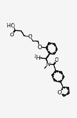 [2H]C(c1ccccc1OCCOCCC(=O)O)N(C)C(=O)c1ccc(-c2ccco2)cc1